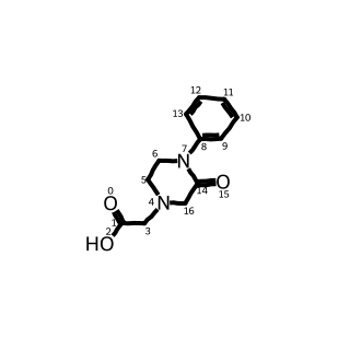 O=C(O)CN1CCN(c2ccccc2)C(=O)C1